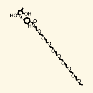 CCOCCOCCOCCOCCOCCOCCOCCOCCOCCNC(=O)[C@H]1CC[C@H](CN2[C@H](O)CC(C)[C@@H]2O)CC1